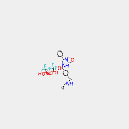 O=C(NCC(c1ccccc1)N1CCOCC1)c1ccc(C2CC2NCC2CC2)cc1.O=C(O)C(F)(F)F.O=C(O)C(F)(F)F